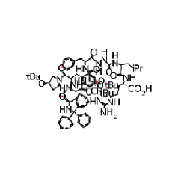 CC(C)C[C@H](NC(=O)NNC(=O)[C@H](Cc1ccccc1)NC(=O)[C@@H](NC(=O)[C@H](CC(=O)NC(c1ccccc1)(c1ccccc1)c1ccccc1)NC(=O)[C@@H]1C[C@@H](OC(C)(C)C)CN1C(=O)[C@H](N)Cc1ccc(OC(C)(C)C)cc1)[C@@H](C)OC(C)(C)C)C(=O)N[C@@H](CCCNC(=N)N)C(=O)O